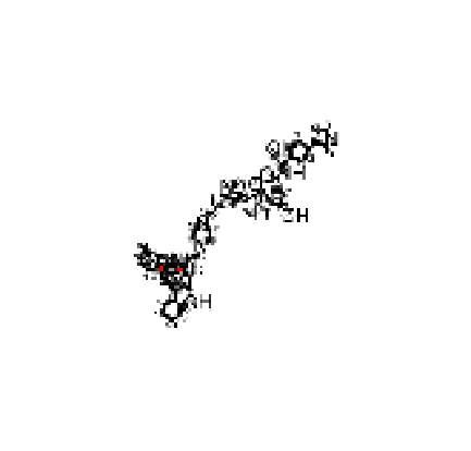 Cc1ncsc1-c1ccc([C@H](CO)NC(=O)[C@@H]2C[C@@H](O)CN2C(=O)[C@@H](c2cc(OCCN3CCN(CCOc4cc(N5C6CCC5CN(c5cc(-c7ccccc7O)nnc5N)C6)ccn4)CC3)no2)C(C)C)cc1